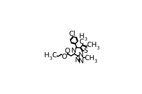 CCCOC(=O)CC1N=C(c2ccc(Cl)cc2)c2c(sc(C)c2C)-n2c(C)nnc21